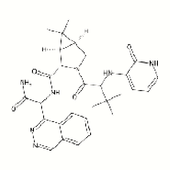 CC(C)(C)C(Nc1ccc[nH]c1=O)C(=O)N1C[C@H]2[C@@H]([C@H]1C(=O)NC(C(N)=O)c1nncc3ccccc13)C2(C)C